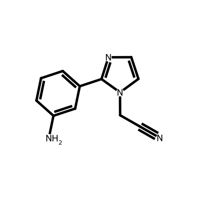 N#CCn1ccnc1-c1cccc(N)c1